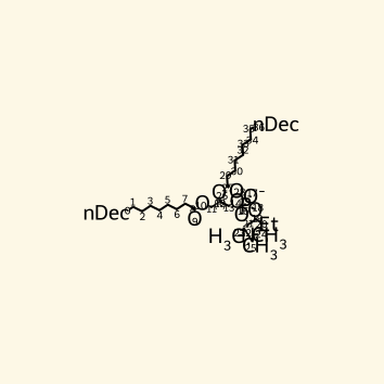 CCCCCCCCCCCCCCCCCC(=O)OC[C@H](COP(=O)([O-])OC(CC)C[N+](C)(C)C)OC(=O)CCCCCCCCCCCCCCCCC